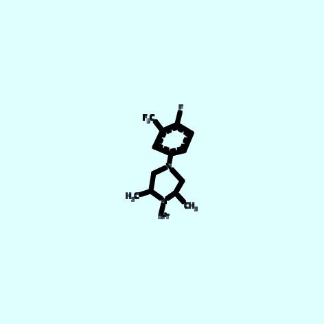 CCCN1C(C)CN(c2ccc(F)c(C(F)(F)F)c2)CC1C